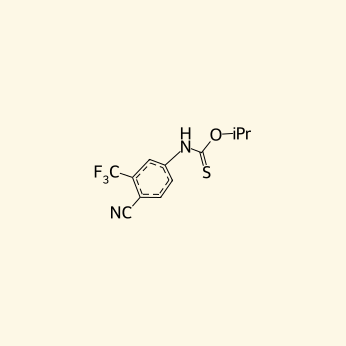 CC(C)OC(=S)Nc1ccc(C#N)c(C(F)(F)F)c1